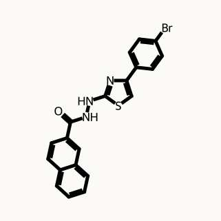 O=C(NNc1nc(-c2ccc(Br)cc2)cs1)c1ccc2ccccc2c1